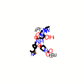 Cc1cn([C@H](C(=O)N2C[C@H](O)C[C@H]2C(=O)NCc2ccc(-c3scnc3C)cc2OC2CCN(C(=O)OC(C)(C)C)CC2)C(C)C)nn1